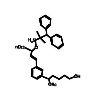 CCCCCCCCC(/C=C/c1cccc(C(CCCCO)OC(C)=O)c1)O[SiH2]C(C)(C)C(c1ccccc1)c1ccccc1